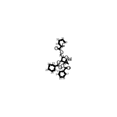 O=C(OC[C@H]1O[C@H]2CC2(OC(=O)c2ccccc2)C1OC(=O)c1ccccc1)c1ccccc1